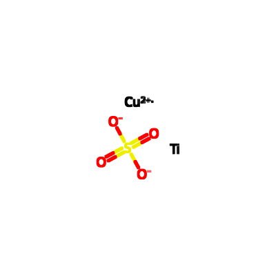 O=S(=O)([O-])[O-].[Cu+2].[Ti]